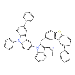 C/C=C\c1c(Cc2ccc3sc4c(c3c2)C=C(c2ccccc2)CC=C4)n(-c2ccc3c(c2)c2cc(-c4ccccc4)ccc2n3-c2ccccc2)c2ccccc12